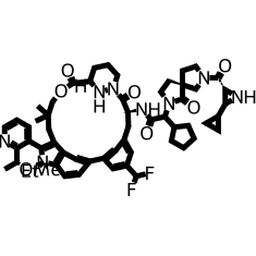 CCn1c(-c2cccnc2[C@H](C)OC)c2c3cc(ccc31)-c1cc(cc(C(F)F)c1)C[C@H](NC(=O)C(C1CCCC1)N1CC[C@]3(CCN(C(=O)[C@@H]4NC4C4CC4)C3)C1=O)C(=O)N1CCC[C@H](N1)C(=O)OCC(C)(C)C2